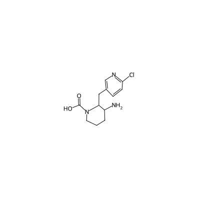 NC1CCCN(C(=O)O)C1Cc1ccc(Cl)nc1